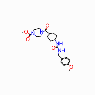 COC(=O)N1CCN(C(=O)C2CCC(NC(=O)NCc3ccc(OC)cc3)CC2)CC1